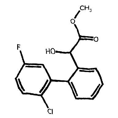 COC(=O)C(O)c1ccccc1-c1cc(F)ccc1Cl